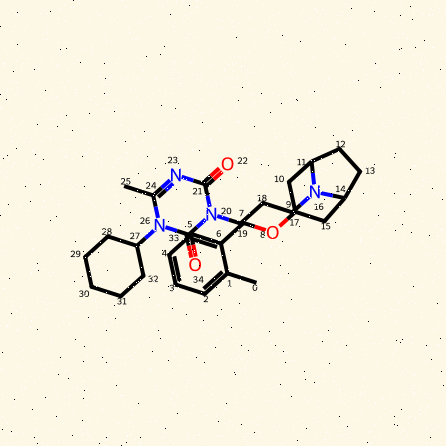 Cc1ccccc1COC1CC2CCC(C1)N2CCCn1c(=O)nc(C)n(C2CCCCC2)c1=O